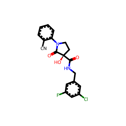 N#Cc1ccccc1N1CC[C@](O)(C(=O)NCc2cc(F)cc(Cl)c2)C1=O